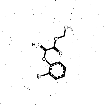 C=C(Oc1ccccc1Br)C(=O)OCC